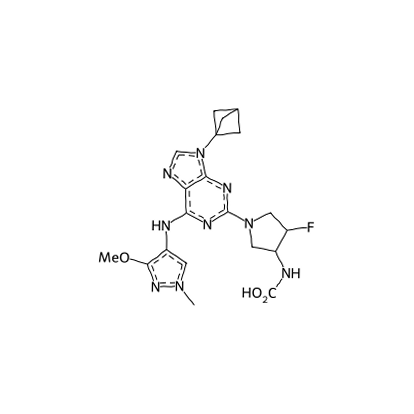 COc1nn(C)cc1Nc1nc(N2CC(F)C(NC(=O)O)C2)nc2c1ncn2C12CC(C1)C2